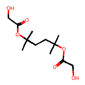 CC(C)(CCC(C)(C)OC(=O)CO)OC(=O)CO